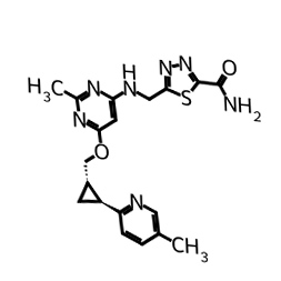 Cc1ccc([C@H]2C[C@@H]2COc2cc(NCc3nnc(C(N)=O)s3)nc(C)n2)nc1